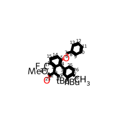 CCCCc1cc(-c2c(OCc3ccccc3)ccc(C(F)(F)F)c2C(CC(C)(C)C)C(=O)OC)ccc1C